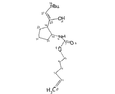 C=CCCCCOC(=O)NC1CCCC1C(O)=CCCCC